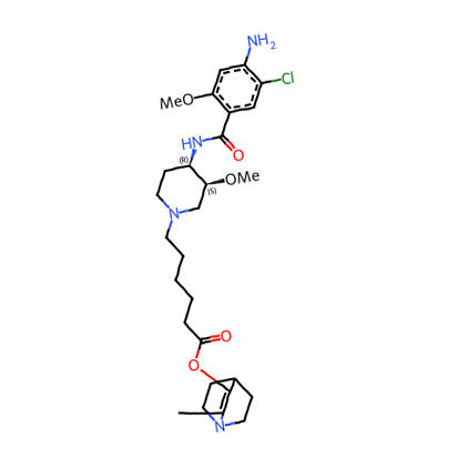 COc1cc(N)c(Cl)cc1C(=O)N[C@@H]1CCN(CCCCCC(=O)OC2=C(C)N3CCC2CC3)C[C@@H]1OC